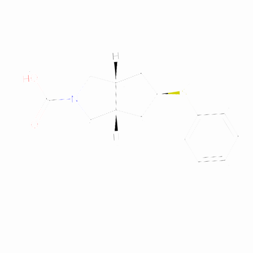 O=C(O)N1C[C@H]2C[C@H](Sc3ccccc3)C[C@H]2C1